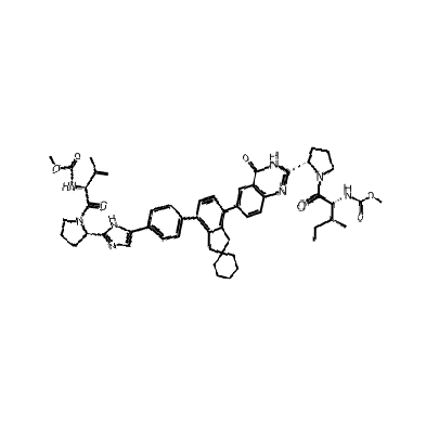 CC[C@H](C)[C@@H](NC(=O)OC)C(=O)N1CCC[C@H]1c1nc2ccc(-c3ccc(-c4ccc(-c5cnc([C@H]6CCCN6C(=O)[C@@H](NC(=O)OC)C(C)C)[nH]5)cc4)c4c3CC3(CCCCC3)C4)cc2c(=O)[nH]1